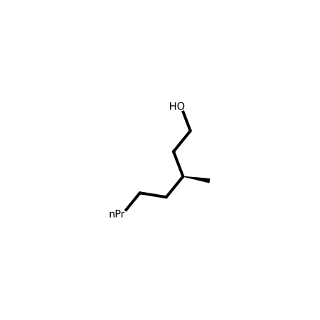 CCCCC[C@H](C)CCO